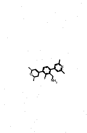 Cc1cc(-c2ccc(C3=C[C@H](C)O[C@H](C)C3)c(F)c2CN)cc(C)n1